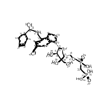 C[C@H](Nc1cc(Cl)nc2c1cnn2[C@@H]1O[C@H](COP(=O)(O)CP(=O)(O)O)C(O)(O)[C@H]1O)c1ccccc1